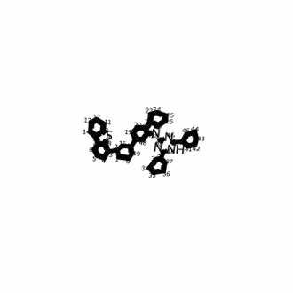 C1=CC(c2cccc3c2sc2ccccc23)CC(c2ccc3c4ccccc4n(C4=NC(c5ccccc5)NC(c5ccccc5)=N4)c3c2)=C1